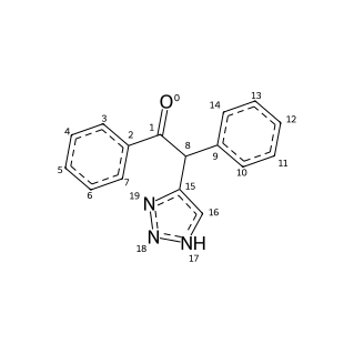 O=C(c1ccccc1)C(c1ccccc1)c1c[nH]nn1